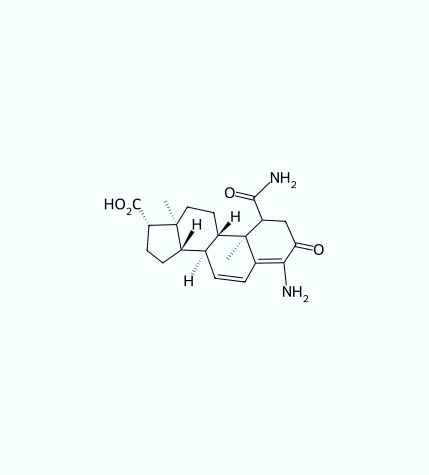 C[C@]12CC[C@H]3[C@@H](C=CC4=C(N)C(=O)CC(C(N)=O)[C@@]43C)[C@@H]1CC[C@@H]2C(=O)O